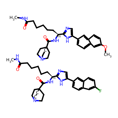 CNC(=O)CCCCC[C@H](NC(=O)C12CCN(CC1)CC2)c1ncc(-c2ccc3cc(F)ccc3c2)[nH]1.CNC(=O)CCCCC[C@H](NC(=O)C12CCN(CC1)CC2)c1ncc(-c2ccc3cc(OC)ccc3c2)[nH]1